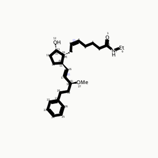 CCNC(=O)CCC/C=C\C[C@H]1[C@@H](O)CC[C@@H]1/C=C/[C@H](CCc1ccccc1)OC